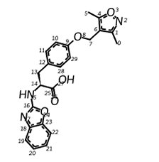 Cc1noc(C)c1COc1ccc(C[C@H](Nc2nc3ccccc3o2)C(=O)O)cc1